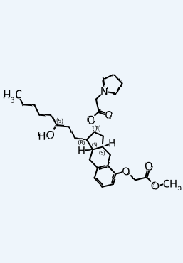 CCCCC[C@H](O)CC[C@@H]1[C@H]2Cc3cccc(OCC(=O)OC)c3C[C@H]2C[C@H]1OC(=O)CN1CCCC1